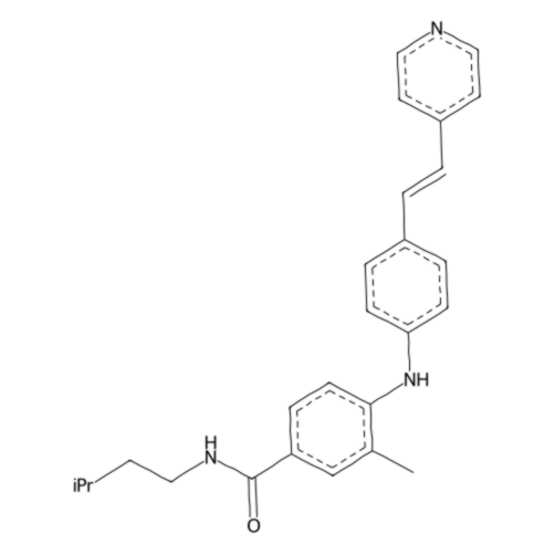 Cc1cc(C(=O)NCCC(C)C)ccc1Nc1ccc(C=Cc2ccncc2)cc1